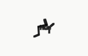 C=[C](CCC)[GeH]([CH3])[CH3]